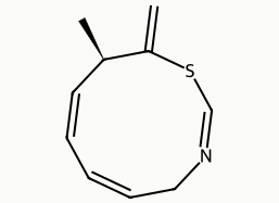 C=C1S/C=N\C/C=C\C=C/[C@H]1C